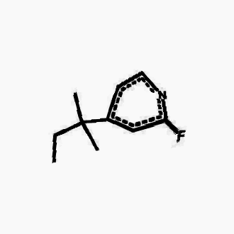 CCC(C)(C)c1ccnc(F)c1